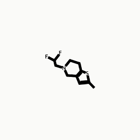 Cc1cc2c(s1)CCN(CC(F)F)C2